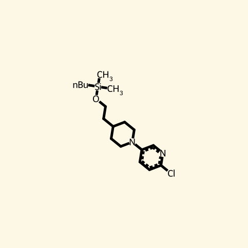 CCCC[Si](C)(C)OCCC1CCN(c2ccc(Cl)nc2)CC1